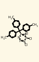 Cc1ccc(C(c2ccc(C)cc2)(c2ccc(C)cc2)p2npn(Cl)p(Cl)n2Cl)cc1